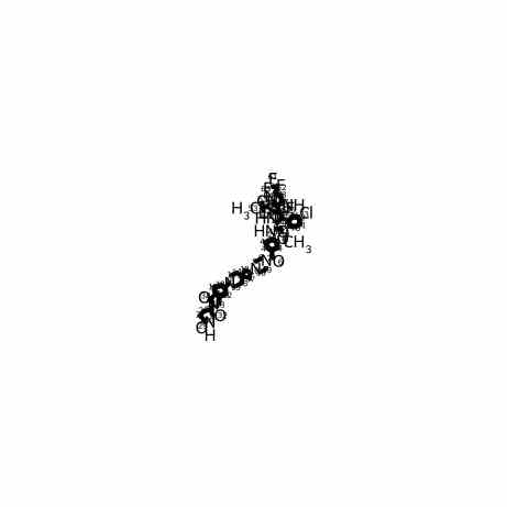 COc1cc(C(=O)N2CCN(C3CC4(CCN(c5ccc6c(c5)CN(C5CCC(=O)NC5=O)C6=O)CC4)C3)CC2)ccc1NC(=O)[C@@H]1N[C@@H](CC(C)(C)C)[C@@]2(CNc3cc(C(F)(F)F)ncc32)[C@H]1c1cccc(Cl)c1F